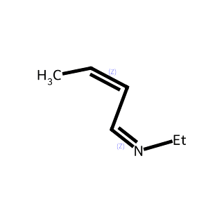 C/C=C\C=N/CC